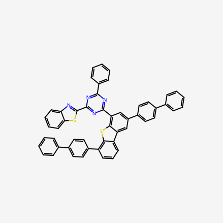 c1ccc(-c2ccc(-c3cc(-c4nc(-c5ccccc5)nc(-c5nc6ccccc6s5)n4)c4sc5c(-c6ccc(-c7ccccc7)cc6)cccc5c4c3)cc2)cc1